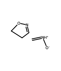 C1=NOCC1.C=[NH+][O-]